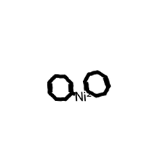 C1=CCC[C]([Ni-2][C]2=CCCC=CCC2)=CCC1